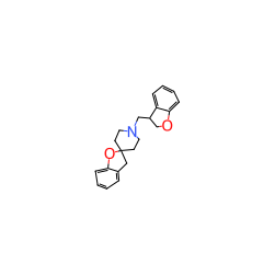 c1ccc2c(c1)CC1(CCN(CC3COc4ccccc43)CC1)O2